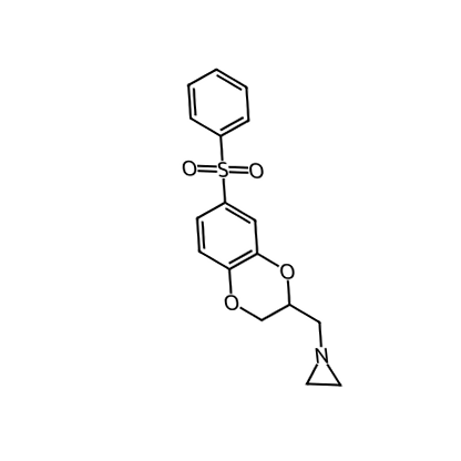 O=S(=O)(c1ccccc1)c1ccc2c(c1)OC(CN1CC1)CO2